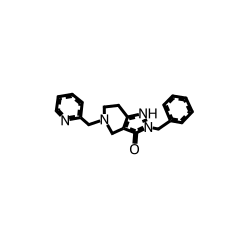 O=c1c2c([nH]n1Cc1ccccc1)CCN(Cc1ccccn1)C2